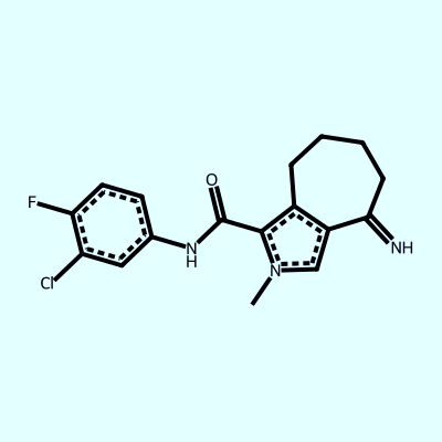 Cn1cc2c(c1C(=O)Nc1ccc(F)c(Cl)c1)CCCCC2=N